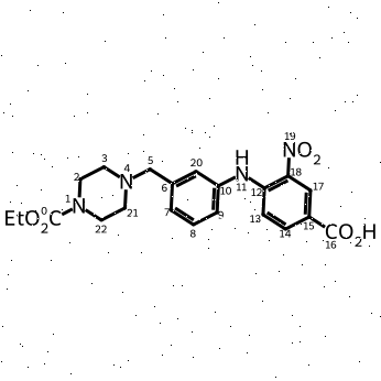 CCOC(=O)N1CCN(Cc2cccc(Nc3ccc(C(=O)O)cc3[N+](=O)[O-])c2)CC1